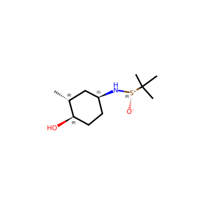 C[C@@H]1C[C@@H](N[S@@+]([O-])C(C)(C)C)CC[C@H]1O